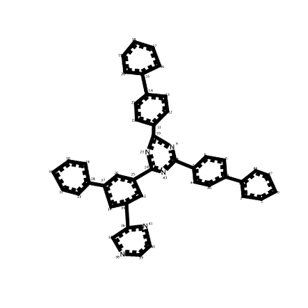 c1ccc(-c2ccc(-c3nc(-c4ccc(-c5ccccc5)cc4)nc(-c4cc(-c5ccccc5)cc(-c5cnccn5)c4)n3)cc2)cc1